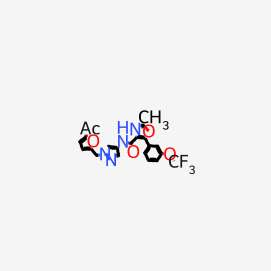 CC(=O)c1ccc(Cn2cc(NC(=O)c3nc(C)oc3-c3cccc(OC(F)(F)F)c3)cn2)o1